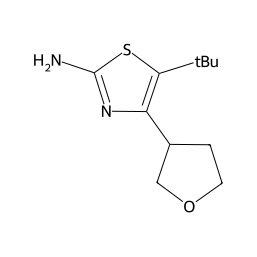 CC(C)(C)c1sc(N)nc1C1CCOC1